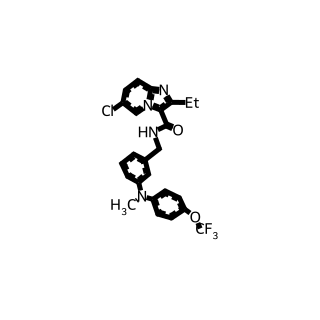 CCc1nc2ccc(Cl)cn2c1C(=O)NCc1cccc(N(C)c2ccc(OC(F)(F)F)cc2)c1